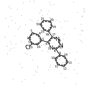 Clc1cccc(-c2nc(-c3ccccc3)nnc2-c2ccccc2)c1